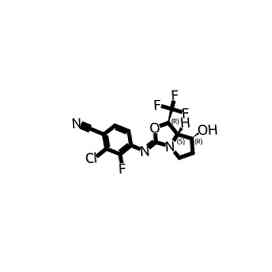 N#Cc1ccc(N=C2O[C@@H](C(F)(F)F)[C@@H]3[C@H](O)CCN23)c(F)c1Cl